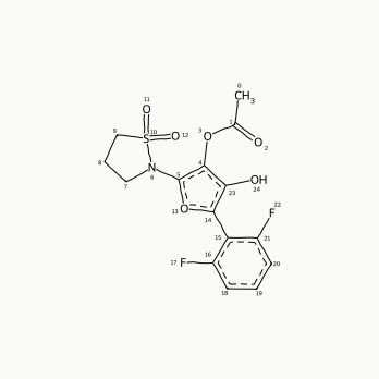 CC(=O)Oc1c(N2CCCS2(=O)=O)oc(-c2c(F)cccc2F)c1O